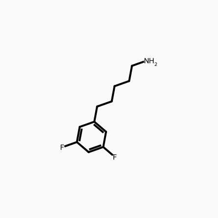 NCCCCCc1cc(F)cc(F)c1